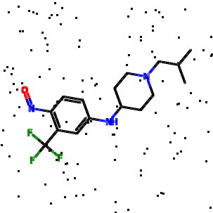 C[C](C)CN1CCC(Nc2ccc(N=O)c(C(F)(F)F)c2)CC1